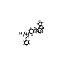 CN(CCc1ccccc1)[C@H]1CC[C@H](Oc2ncnc3sc4c(c23)CCC4)CC1